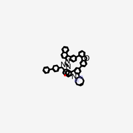 C1#CC/C=c2\c(c3cc(-c4ccc5oc6cccc(-c7ccc8c(c7)c7c9ccccc9ccc7n8-c7nc(C8=CC=C(c9ccccc9)CC8)c8ccccc8n7)c6c5c4)cc4c5ccccc5n2c34)=C/C1